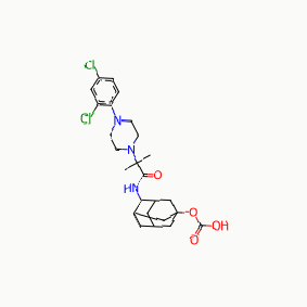 CC(C)(C(=O)NC1C2CC3CC1CC(OC(=O)O)(C3)C2)N1CCN(c2ccc(Cl)cc2Cl)CC1